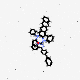 c1ccc(-c2ccc(-c3nc(-n4c5ccccc5c5c6cc7c(cc6c6c8ccccc8n(-c8ccccc8)c6c54)Cc4ccccc4C7)nc4ccccc34)cc2)cc1